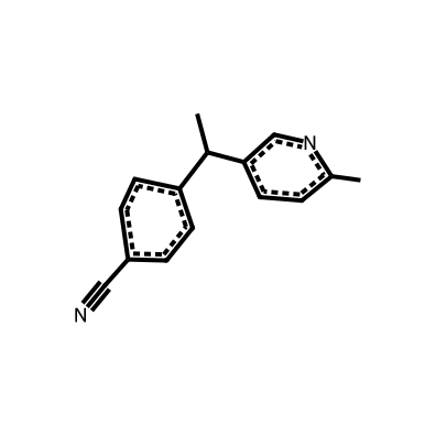 Cc1ccc(C(C)c2ccc(C#N)cc2)cn1